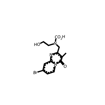 Cc1c(CN(CCO)C(=O)O)nc2cc(Br)ccn2c1=O